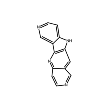 c1cc2nc3c(cc2cn1)[nH]c1ccncc13